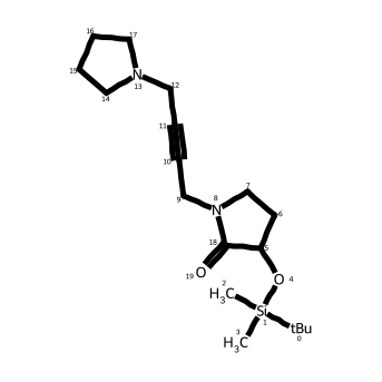 CC(C)(C)[Si](C)(C)OC1CCN(CC#CCN2CCCC2)C1=O